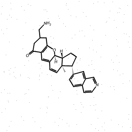 C[C@]12C=CC3=CC4=C(CC(CN)CC4=O)O[C@H]3[C@@H]1CC[C@@H]2c1ccc2ccncc2c1